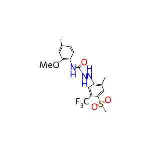 COc1cc(C)ccc1NC(=O)NNc1cc(C(F)(F)F)c(S(C)(=O)=O)cc1C